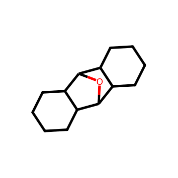 C1CCC2C(C1)C1OC2C2CCCCC21